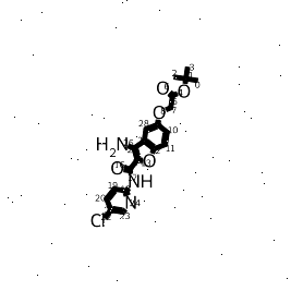 CC(C)(C)OC(=O)COc1ccc2oc(C(=O)Nc3ccc(Cl)cn3)c(N)c2c1